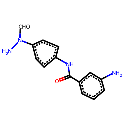 Nc1cccc(C(=O)Nc2ccc(N(N)C=O)cc2)c1